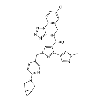 Cn1cc(-c2nn(Cc3ccc(N4CC5CC5C4)nc3)cc2C(=O)NCc2cc(Cl)ccc2-n2cnnn2)cn1